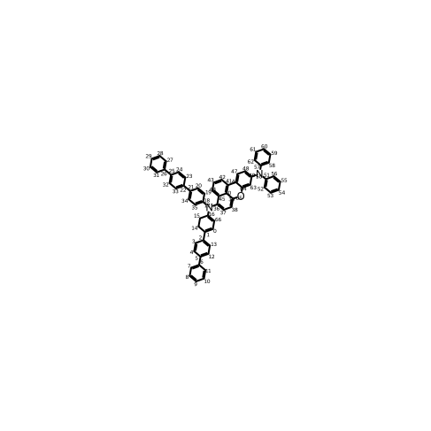 C1=C(c2ccc(-c3ccccc3)cc2)CCC(N(c2ccc(-c3ccc(-c4ccccc4)cc3)cc2)c2ccc3c4c(cccc24)-c2ccc(N(c4ccccc4)c4ccccc4)cc2O3)=C1